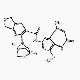 COc1cc(NC(=O)c2cc3c(nc2N2C[C@@H]4C[C@H]2CO4)COC3)cc2c(C)cc(=O)[nH]c12